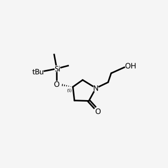 CC(C)(C)[Si](C)(C)O[C@H]1CC(=O)N(CCO)C1